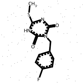 CSc1nc(=O)n(Cc2ccc(F)cc2)c(=O)[nH]1